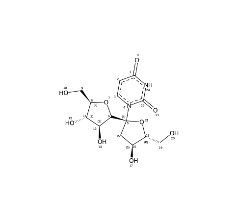 O=c1ccn([C@@]2(C3O[C@H](CO)[C@@H](O)[C@@H]3O)C[C@H](O)[C@@H](CO)O2)c(=O)[nH]1